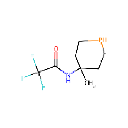 CC1(NC(=O)C(F)(F)F)CCPCC1